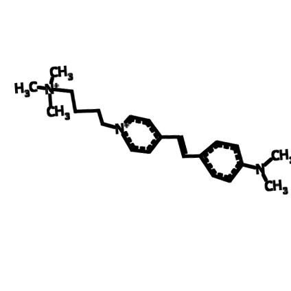 CN(C)c1ccc(/C=C/c2cc[n+](CCCC[N+](C)(C)C)cc2)cc1